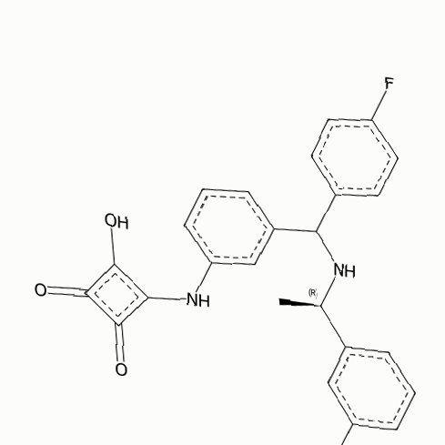 C[C@@H](NC(c1ccc(F)cc1)c1cccc(Nc2c(O)c(=O)c2=O)c1)c1cccc(F)c1